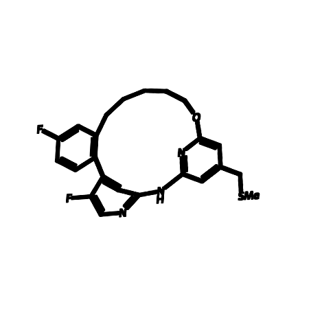 CSCc1cc2nc(c1)OCCCCCc1cc(F)ccc1-c1cc(ncc1F)N2